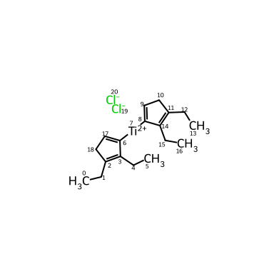 CCC1=C(CC)[C]([Ti+2][C]2=CCC(CC)=C2CC)=CC1.[Cl-].[Cl-]